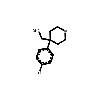 O=CCC1(c2ccc(Cl)cc2)CCNCC1